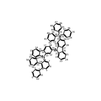 c1ccc(-c2cccc(-n3c4ccccc4c4ccc(-n5c6ccccc6c6ccc([Si](c7ccccc7)(c7ccccc7)c7ccccc7)cc65)cc43)c2-c2ccccc2)cc1